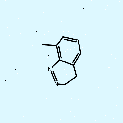 Cc1cccc2c1N=NCC2